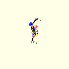 CCCCCCO/N=C(/C(=O)NC1C(=O)N2C(C(=O)O)=C(CSc3nnnn3CCCCCC)CS[C@H]12)C1=CSCCO1